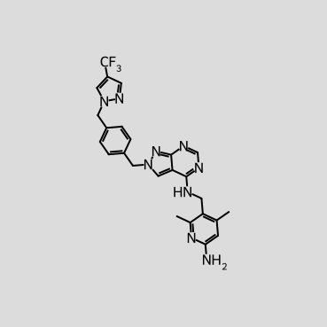 Cc1cc(N)nc(C)c1CNc1ncnc2nn(Cc3ccc(Cn4cc(C(F)(F)F)cn4)cc3)cc12